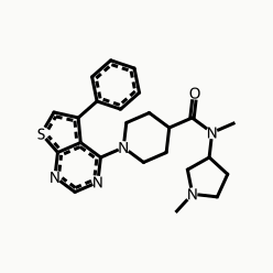 CN1CCC(N(C)C(=O)C2CCN(c3ncnc4scc(-c5ccccc5)c34)CC2)C1